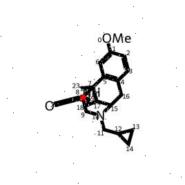 COc1ccc2c(c1)C13CCN(CC4CC4)C(C2)C1CCC(=O)NC3